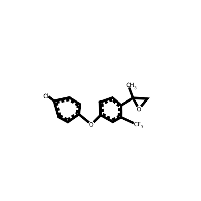 CC1(c2ccc(Oc3ccc(Cl)cc3)cc2C(F)(F)F)CO1